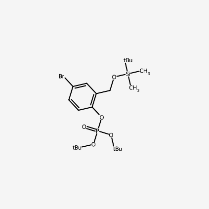 CC(C)(C)OP(=O)(Oc1ccc(Br)cc1CO[Si](C)(C)C(C)(C)C)OC(C)(C)C